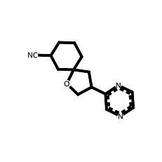 N#CC1CCCC2(C1)CC(c1cnccn1)CO2